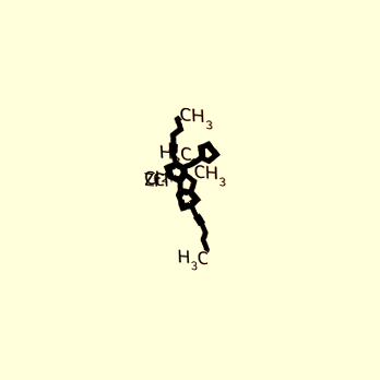 CCCCC#Cc1ccc2c(c1)Cc1c-2ccc(C#CCCCC)c1C(C)(C)C1=CC=CC1.[Cl-].[Cl-].[Zr+2]